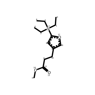 CC[Si](CC)(CC)c1cc(CCC(=O)OC)co1